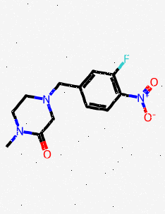 CN1CCN(Cc2ccc([N+](=O)[O-])c(F)c2)CC1=O